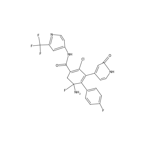 NC1(F)CC(C(=O)Nc2ccnc(C(F)(F)F)c2)=C(Cl)C(c2cc[nH]c(=O)c2)=C1c1ccc(F)cc1